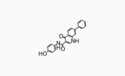 O=C(Nc1ccc(O)cc1)c1c[nH]c2cc(-c3ccccc3)ccc2c1=O